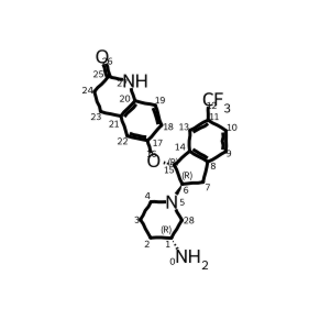 N[C@@H]1CCCN([C@@H]2Cc3ccc(C(F)(F)F)cc3[C@H]2Oc2ccc3c(c2)CCC(=O)N3)C1